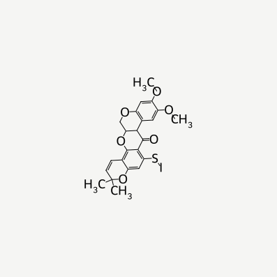 COc1cc2c(cc1OC)C1C(=O)c3c(SI)cc4c(c3OC1CO2)C=CC(C)(C)O4